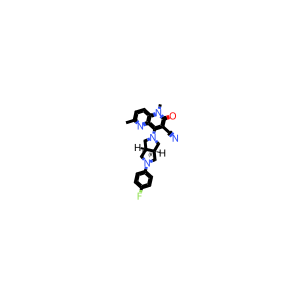 Cc1ccc2c(n1)c(N1C[C@H]3CN(c4ccc(F)cc4)C[C@@H]3C1)c(C#N)c(=O)n2C